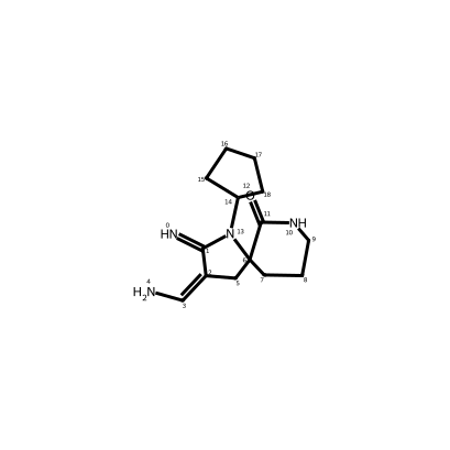 N=C1/C(=C\N)CC2(CCCNC2=O)N1C1CCCC1